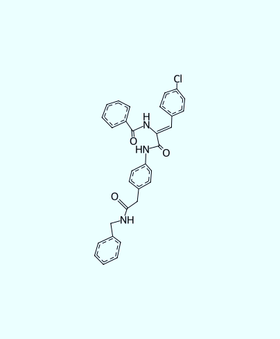 O=C(Cc1ccc(NC(=O)C(=Cc2ccc(Cl)cc2)NC(=O)c2ccccc2)cc1)NCc1ccccc1